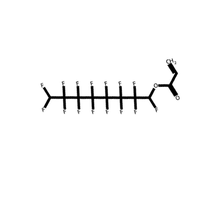 C=CC(=O)OC(F)C(F)(F)C(F)(F)C(F)(F)C(F)(F)C(F)(F)C(F)(F)C(F)F